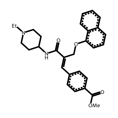 CCN1CCC(NC(=O)/C(=C/c2ccc(C(=O)OC)cc2)COc2cccc3ccccc23)CC1